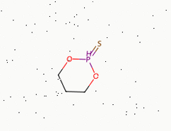 S=[PH]1OCCCO1